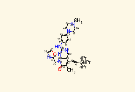 Cc1c(C#C[Si](C(C)C)(C(C)C)C(C)C)c2cnc(Nc3ccc(N4CCN(C)CC4)cc3)nc2n(Cc2ncco2)c1=O